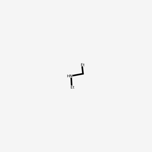 [CH2]CCNCC